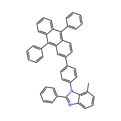 Cc1cccc2nc(-c3ccccc3)n(-c3ccc(-c4ccc5c(-c6ccccc6)c6ccccc6c(-c6ccccc6)c5c4)cc3)c12